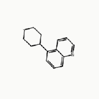 [CH]1CCC(c2cccc3ncccc23)CC1